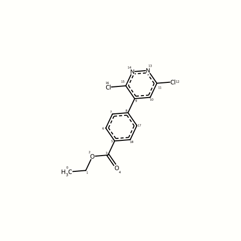 CCOC(=O)c1ccc(-c2cc(Cl)nnc2Cl)cc1